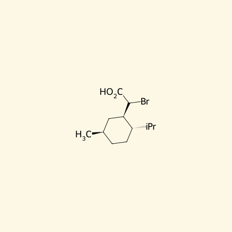 CC(C)[C@@H]1CC[C@@H](C)C[C@H]1C(Br)C(=O)O